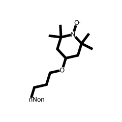 CCCCCCCCCCCCOC1CC(C)(C)N([O])C(C)(C)C1